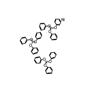 [Ni].c1ccc(OP(Oc2ccccc2)Oc2ccccc2)cc1.c1ccc(OP(Oc2ccccc2)Oc2ccccc2)cc1.c1ccc(OP(Oc2ccccc2)Oc2ccccc2)cc1